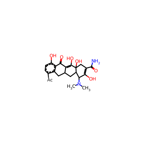 CC(=O)c1ccc(O)c2c1CC1CC3C(N(C)C)C(O)=C(C(N)=O)CC3(O)C(O)=C1C2=O